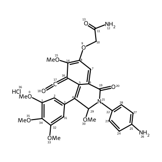 COc1cc(C2=c3c(cc(OCC(N)=O)c(OC)c3=C=O)C(=O)N(c3ccc(N)cc3)C2OC)cc(OC)c1OC.Cl